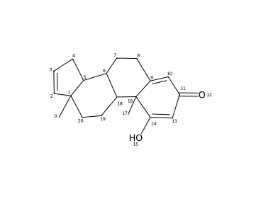 CC12C=CCC1C1CCC3=CC(=O)C=C(O)C3(C)C1CC2